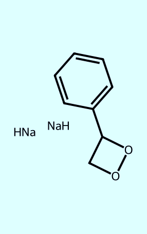 [NaH].[NaH].c1ccc(C2COO2)cc1